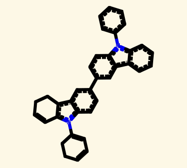 C1=CCCC(n2c3c(c4cc(-c5ccc6c(c5)c5ccccc5n6-c5ccccc5)ccc42)CCC=C3)=C1